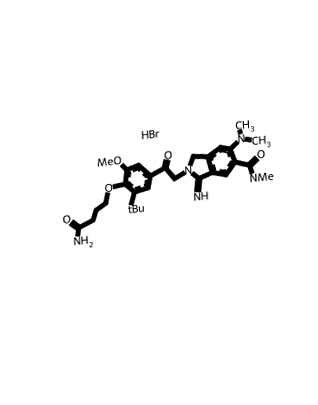 Br.CNC(=O)c1cc2c(cc1N(C)C)CN(CC(=O)c1cc(OC)c(OCCCC(N)=O)c(C(C)(C)C)c1)C2=N